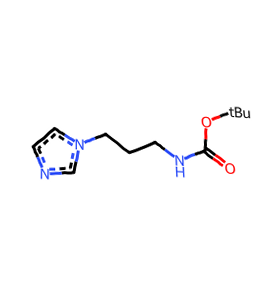 CC(C)(C)OC(=O)NCCCn1ccnc1